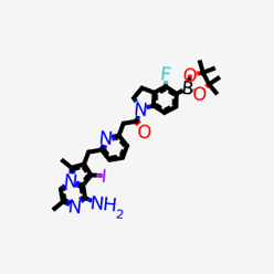 Cc1cn2c(C)c(Cc3cccc(CC(=O)N4CCc5c4ccc(B4OC(C)(C)C(C)(C)O4)c5F)n3)c(I)c2c(N)n1